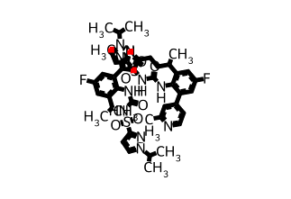 Cc1cc(-c2cc(F)cc(C(C)CCc3cc(-c4cc(F)cc(C(C)C)c4NC(=O)NS(=O)(=O)c4ccn(C(C)C)n4)n(C)n3)c2NC(=O)NS(=O)(=O)c2ccn(C(C)C)n2)ccn1